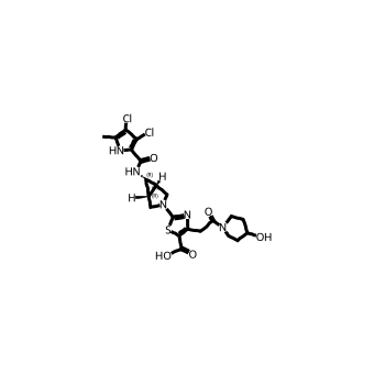 Cc1[nH]c(C(=O)N[C@@H]2[C@@H]3CN(c4nc(CC(=O)N5CCC(O)CC5)c(C(=O)O)s4)C[C@@H]32)c(Cl)c1Cl